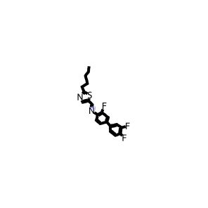 CCCCCc1ncc(/C=N/c2ccc(-c3ccc(F)c(F)c3)cc2F)s1